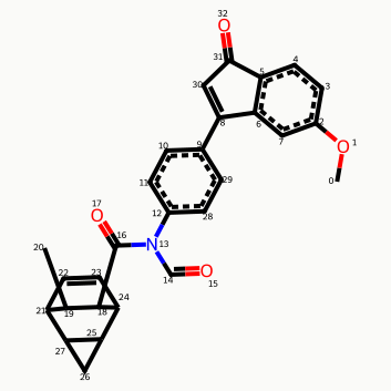 COc1ccc2c(c1)C(c1ccc(N(C=O)C(=O)C3C(C)C4C=CC3C3CC43)cc1)=CC2=O